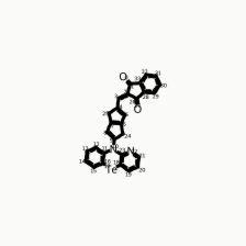 O=C1C(=CC2=CC3=C(C=C(N4c5ccccc5[Te]c5cccnc54)C3)C2)C(=O)c2ccccc21